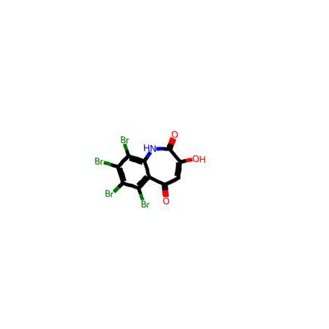 O=c1[nH]c2c(Br)c(Br)c(Br)c(Br)c2c(=O)cc1O